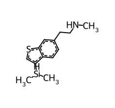 CNCCc1ccc2c([SiH](C)C)csc2c1